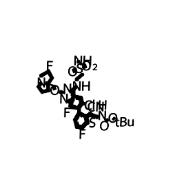 CC(C)(C)OC(=O)Nc1sc2c(F)ccc(-c3c(Cl)cc4c(NCCS(N)(=O)=O)nc(OC[C@@]56CCCN5C[C@H](F)C6)nc4c3F)c2c1C#N